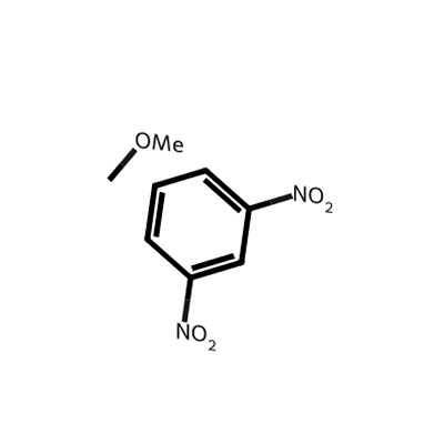 COC.O=[N+]([O-])c1cccc([N+](=O)[O-])c1